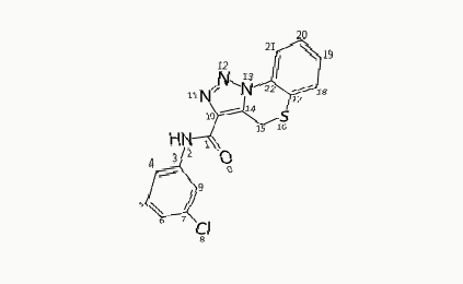 O=C(Nc1cccc(Cl)c1)c1nnn2c1CSc1ccccc1-2